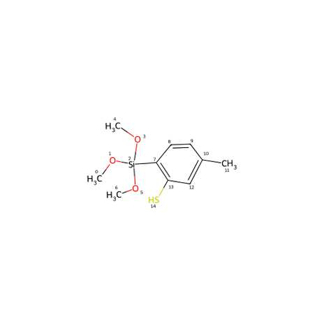 CO[Si](OC)(OC)c1ccc(C)cc1S